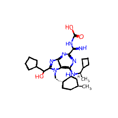 C[C@@H](Nc1nc(C(=N)NC(=O)O)nc2nc(C(O)C3CCCC3)n(C[C@H]3CC[C@H](C)CC3)c12)C1CCC1